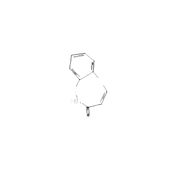 O=C1/C=C\Cc2ccccc2SN1